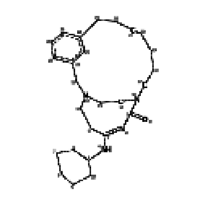 O=C1/N=C(/NC2CCCCC2)CCN2CCN1CCCCCCCc1cccc(c1)C2